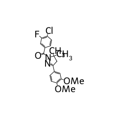 COc1ccc(C2=NN(C(=O)c3ccc(Cl)c(F)c3)C(C)(C)C2)cc1OC